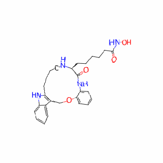 O=C(CCCCC[C@@H]1NCCCCc2[nH]c3ccccc3c2COc2ccccc2NC1=O)NO